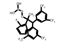 CC(OOB(O)O)(c1c(F)cccc1F)C(c1cc(C(F)(F)F)cc(C(F)(F)F)c1)c1cc(C(F)(F)F)cc(C(F)(F)F)c1